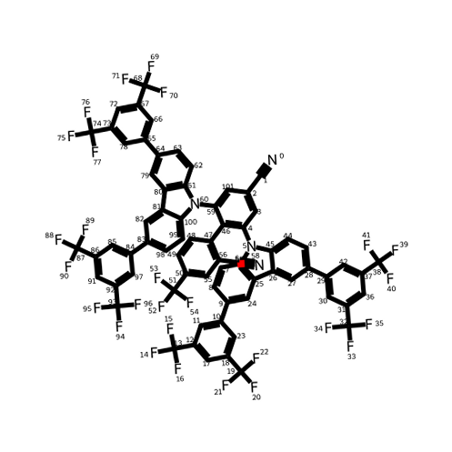 N#Cc1cc(-n2c3ccc(-c4cc(C(F)(F)F)cc(C(F)(F)F)c4)cc3c3cc(-c4cc(C(F)(F)F)cc(C(F)(F)F)c4)ccc32)c(-c2ccc(C(F)(F)F)cc2C#N)c(-n2c3ccc(-c4cc(C(F)(F)F)cc(C(F)(F)F)c4)cc3c3cc(-c4cc(C(F)(F)F)cc(C(F)(F)F)c4)ccc32)c1